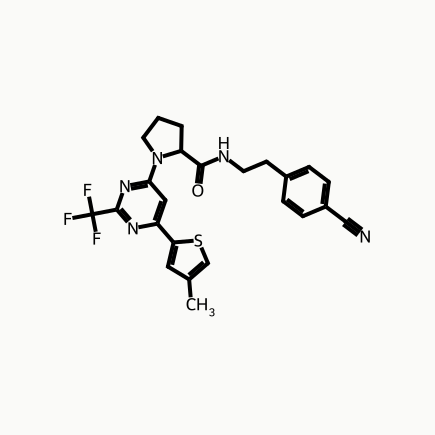 Cc1csc(-c2cc(N3CCCC3C(=O)NCCc3ccc(C#N)cc3)nc(C(F)(F)F)n2)c1